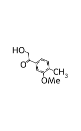 COc1cc(C(=O)CO)ccc1C